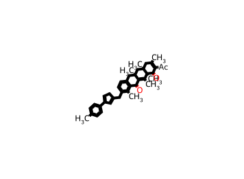 CC(=O)C1=C(C)C[C@@]2(C)C[C@@]3(C)Cc4ccc(CC5=CC(c6ccc(C)cc6)=CC5)c(C)c4C(=O)C3=C(C)[C@@]2(C)C1=O